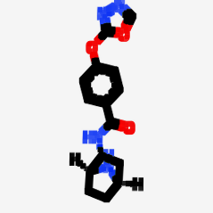 O=C(N[C@@H]1C[C@H]2CC[C@@H]1N2)c1ccc(Oc2nnco2)cc1